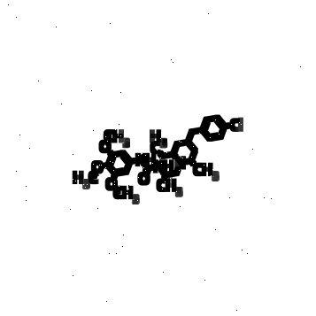 CCC1CC(Cc2ccc(Cl)cc2)CC(C)N1C[C@@H](C)NC(=O)Nc1cc(OC)c(OC)c(OC)c1